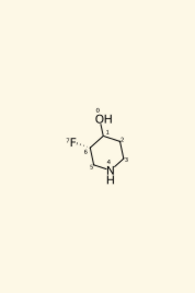 OC1CCNC[C@@H]1F